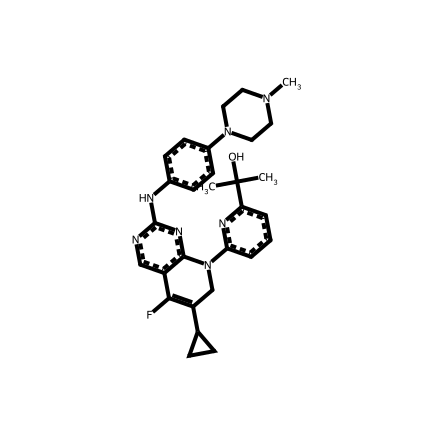 CN1CCN(c2ccc(Nc3ncc4c(n3)N(c3cccc(C(C)(C)O)n3)CC(C3CC3)=C4F)cc2)CC1